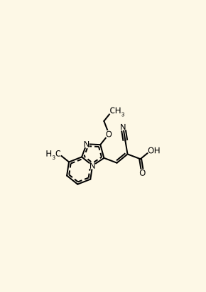 CCOc1nc2c(C)cccn2c1C=C(C#N)C(=O)O